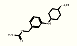 CCOC(=O)C1CCC(Nc2cccc(CNC(=O)OC)c2)CC1